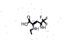 CCN/C(=C\C(=N)C(F)(F)F)C(=O)O